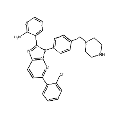 Nc1ncccc1-c1nc2ccc(-c3ccccc3Cl)nc2n1-c1ccc(CN2CCNCC2)cc1